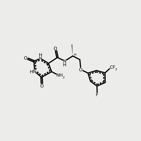 C[C@H](COc1cc(F)cc(C(F)(F)F)c1)NC(=O)c1[nH]c(=O)[nH]c(=O)c1N